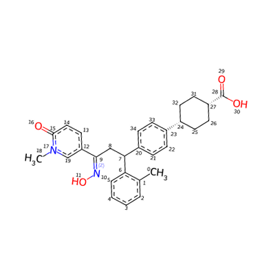 Cc1ccccc1C(C/C(=N/O)c1ccc(=O)n(C)c1)c1ccc([C@H]2CC[C@@H](C(=O)O)CC2)cc1